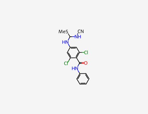 CSC(NC#N)Nc1cc(Cl)c(C(=O)Nc2ccccc2)c(Cl)c1